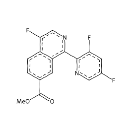 COC(=O)c1ccc2c(F)cnc(-c3ncc(F)cc3F)c2c1